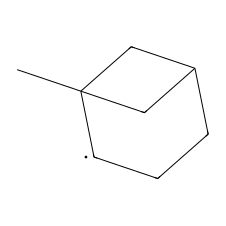 CC12[CH]CCC(C1)C2